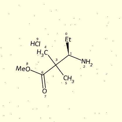 CC[C@@H](N)C(C)(C)C(=O)OC.Cl